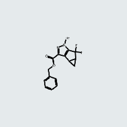 CC(C)n1nc(C(=O)OCc2ccccc2)c2c1C(F)(F)C1CC21